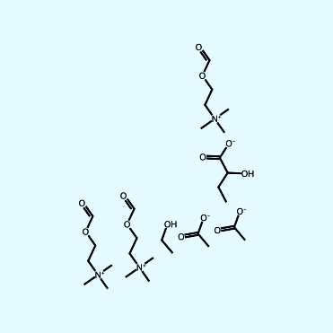 CC(=O)[O-].CC(=O)[O-].CCC(O)C(=O)[O-].CCO.C[N+](C)(C)CCOC=O.C[N+](C)(C)CCOC=O.C[N+](C)(C)CCOC=O